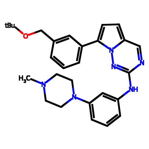 CN1CCN(c2cccc(Nc3ncc4ccc(-c5cccc(COC(C)(C)C)c5)n4n3)c2)CC1